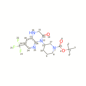 CC(C)(C)OC(=O)N1CCCC(N2C(=O)CNc3cc(C(F)(F)F)cnc32)C1